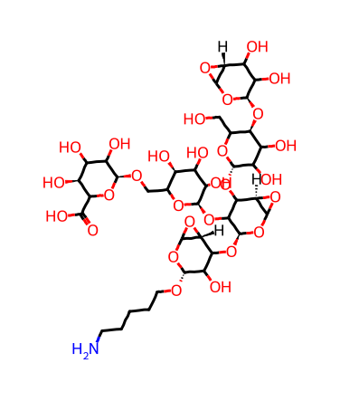 NCCCCCO[C@@H]1OC2O[C@@H]2C(O[C@@H]2OC3O[C@@H]3C(O[C@@H]3OC(CO)[C@@H](O[C@H]4OC5O[C@@H]5C(O)C4O)C(O)C3O)C2O[C@H]2OC(CO[C@H]3OC(C(=O)O)[C@@H](O)C(O)C3O)[C@@H](O)C(O)C2O)C1O